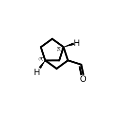 O=CC1C[C@@H]2CC[C@H]1C2